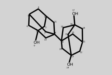 OC12CC3CC(C1)CC(C14CC5CC(O)(CC(O)(C5)C1)C4)(C3)C2